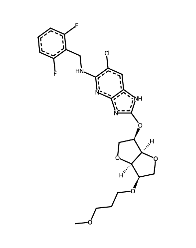 COCCCO[C@@H]1CO[C@H]2[C@@H]1OC[C@H]2Oc1nc2nc(NCc3c(F)cccc3F)c(Cl)cc2[nH]1